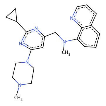 CN1CCN(c2cc(CN(C)c3cccc4cccnc34)nc(C3CC3)n2)CC1